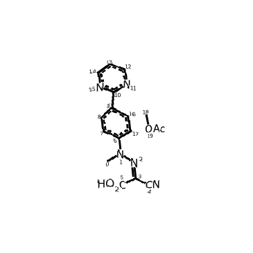 CN(N=C(C#N)C(=O)O)c1ccc(-c2ncccn2)cc1.COC(C)=O